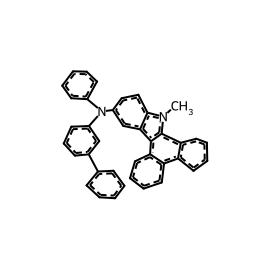 Cn1c2ccc(N(c3ccccc3)c3cccc(-c4ccccc4)c3)cc2c2c3ccccc3c3ccccc3c21